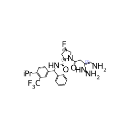 CC(C)c1ccc(C(NC(=O)[C@@H]2C[C@@H](F)CN2C(=O)C/C(=C/N)NN)c2ccccc2)cc1C(F)(F)F